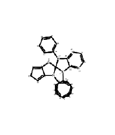 C1=C2SC3(N(c4ccccc4)C2=CC1)N(c1ccccc1)c1nccnc1N3c1ccccc1